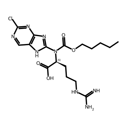 CCCCCOC(=O)N(c1nc2nc(Cl)ncc2[nH]1)[C@@H](CCCNC(=N)N)C(=O)O